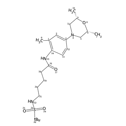 Cc1cc(N2C[C@@H](C)O[C@@H](C)C2)ccc1NC(=O)CCCCNS(=O)(=O)C(C)(C)C